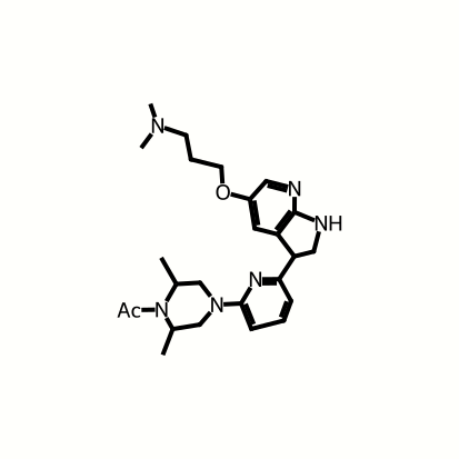 CC(=O)N1C(C)CN(c2cccc(C3CNc4ncc(OCCCN(C)C)cc43)n2)CC1C